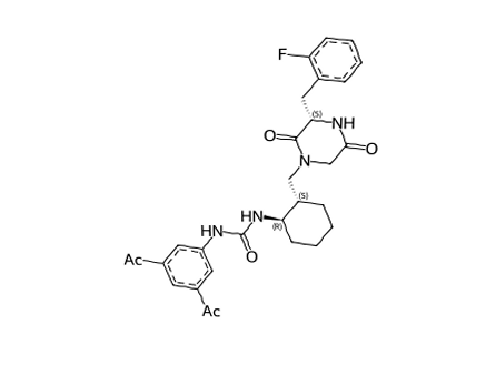 CC(=O)c1cc(NC(=O)N[C@@H]2CCCC[C@H]2CN2CC(=O)N[C@@H](Cc3ccccc3F)C2=O)cc(C(C)=O)c1